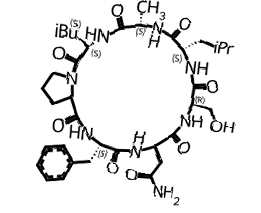 CC[C@H](C)[C@@H]1NC(=O)[C@H](C)NC(=O)[C@H](CC(C)C)NC(=O)[C@@H](CO)NC(=O)C(CC(N)=O)NC(=O)[C@H](Cc2ccccc2)NC(=O)C2CCCN2C1=O